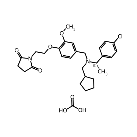 COc1cc(CN(CC2CCCC2)[C@@H](C)c2ccc(Cl)cc2)ccc1OCCN1C(=O)CCC1=O.O=C(O)O